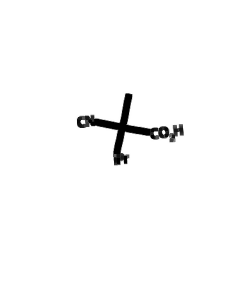 [C-]#[N+]C(C)(C(=O)O)C(C)C